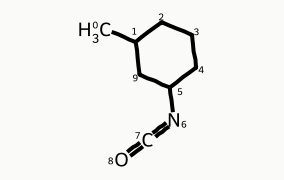 CC1CCCC(N=C=O)C1